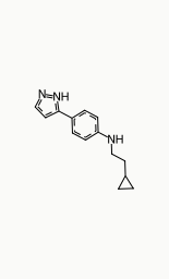 c1cc(-c2ccc(NCCC3CC3)cc2)[nH]n1